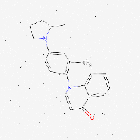 CC1CCCN1c1ccc(-n2ccc(=O)c3ccccc32)c(C(F)(F)F)c1